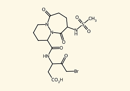 CS(=O)(=O)NC1CCC(=O)N2CCCC(C(=O)NC(CC(=O)O)C(=O)CBr)N2C1=O